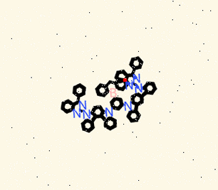 c1ccc(-c2nc(-n3c4ccccc4c4cc5c6ccccc6n(-c6cc(B7c8ccccc8Cc8ccccc87)cc(-n7c8ccccc8c8c9c%10ccccc%10n(-c%10nc(-c%11ccccc%11)c%11ccccc%11n%10)c9ccc87)c6)c5cc43)nc3ccccc23)cc1